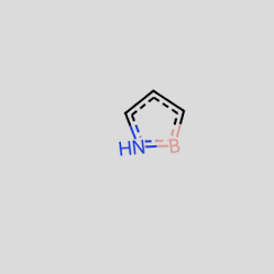 b1ccc[nH]1